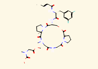 CCCC/C=C/C(=O)N[C@@H](Cc1cc(F)cc(F)c1)C(=O)N[C@H]1COC(=O)[C@@H]2CCCN2C(=O)[C@H](C)NC(=O)[C@H](COC(=O)CN(C)C(=O)OC(C)(C)C)N(C)C(=O)[C@@H]2CCCN2C1=O